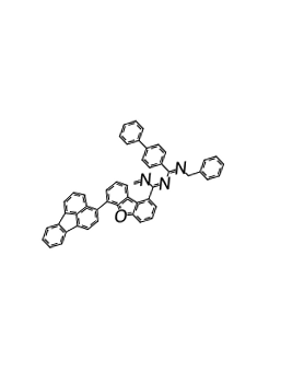 C=N/C(=N\C(=N/Cc1ccccc1)c1ccc(-c2ccccc2)cc1)c1cccc2oc3c(-c4ccc5c6c(cccc46)-c4ccccc4-5)cccc3c12